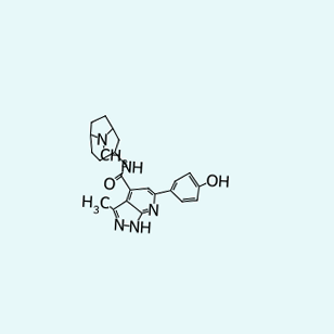 Cc1n[nH]c2nc(-c3ccc(O)cc3)cc(C(=O)NC3CCC4CCC(C3)N4C)c12